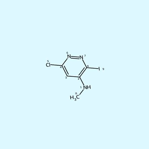 CNc1cc(Cl)nnc1I